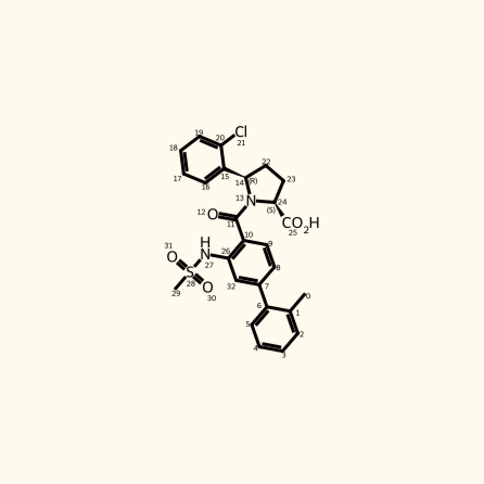 Cc1ccccc1-c1ccc(C(=O)N2[C@@H](c3ccccc3Cl)CC[C@H]2C(=O)O)c(NS(C)(=O)=O)c1